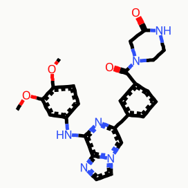 COc1ccc(Nc2nc(-c3cccc(C(=O)N4CCNC(=O)C4)c3)cn3ccnc23)cc1OC